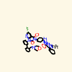 CCCNC1(C(=O)NC2CCC(n3c(=O)c4cc(F)cnc4n(-c4cccc(-c5ccccc5CN5CCOCC5)c4)c3=O)CC2)CCCC1